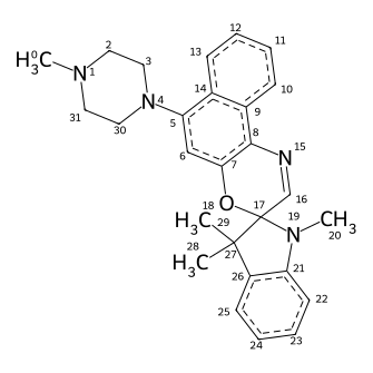 CN1CCN(c2cc3c(c4ccccc24)N=CC2(O3)N(C)c3ccccc3C2(C)C)CC1